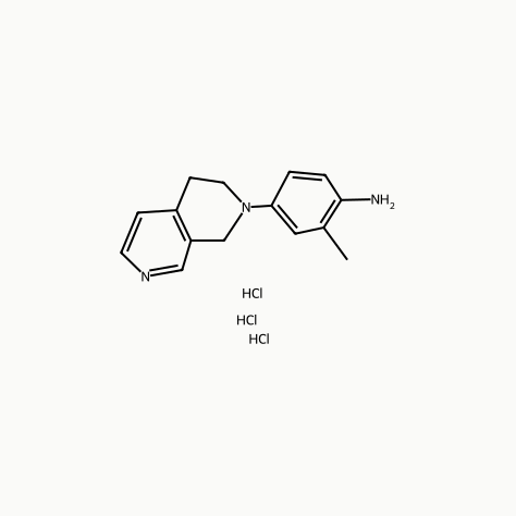 Cc1cc(N2CCc3ccncc3C2)ccc1N.Cl.Cl.Cl